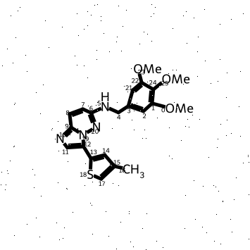 COc1cc(CNc2ccc3ncc(-c4cc(C)cs4)n3n2)cc(OC)c1OC